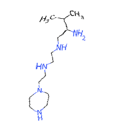 CC(C)C(N)CNCCNCCN1CCNCC1